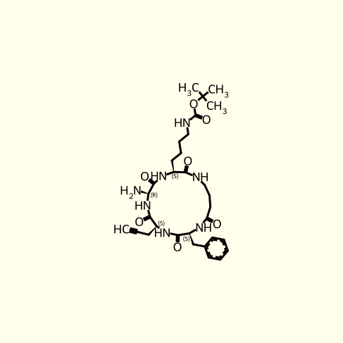 C#CC[C@@H]1NC(=O)[C@H](Cc2ccccc2)NC(=O)CCCNC(=O)[C@H](CCCCNC(=O)OC(C)(C)C)NC(=O)[C@H](N)NC1=O